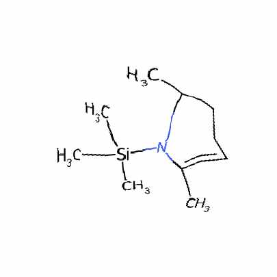 CC1=CCC(C)N1[Si](C)(C)C